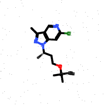 Cc1nn([C@@H](C)CCO[Si](C)(C)C(C)(C)C)c2cc(Cl)ncc12